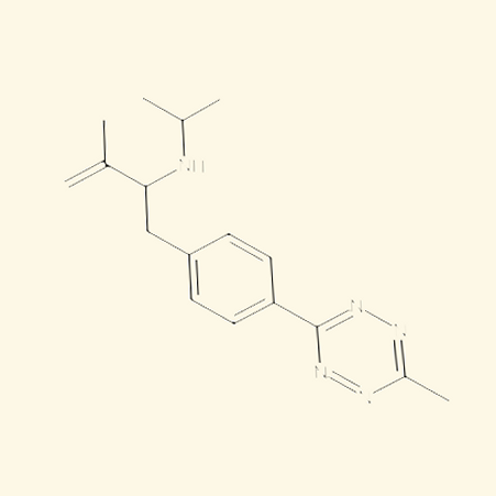 C=C(C)C(Cc1ccc(-c2nnc(C)nn2)cc1)NC(C)C